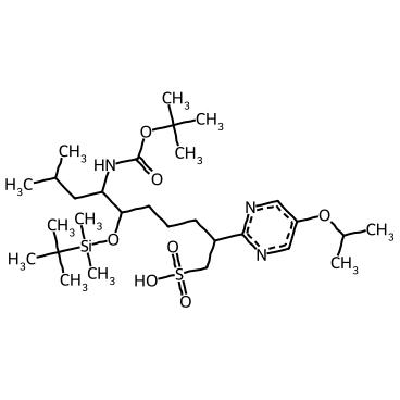 CC(C)CC(NC(=O)OC(C)(C)C)C(CCCC(CS(=O)(=O)O)c1ncc(OC(C)C)cn1)O[Si](C)(C)C(C)(C)C